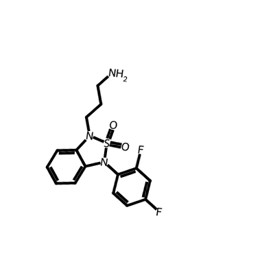 NCCCN1c2ccccc2N(c2ccc(F)cc2F)S1(=O)=O